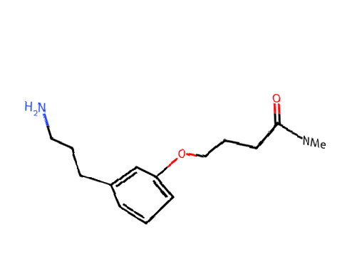 CNC(=O)CCCOc1cccc(CCCN)c1